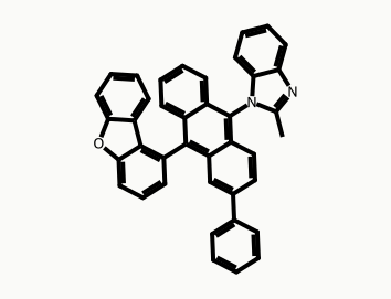 Cc1nc2ccccc2n1-c1c2ccccc2c(-c2cccc3oc4ccccc4c23)c2cc(-c3ccccc3)ccc12